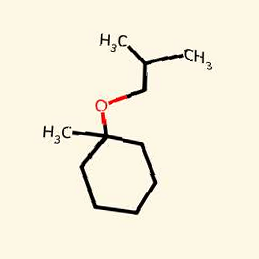 CC(C)COC1(C)CCCCC1